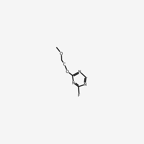 COCCOc1n[c]nc(F)n1